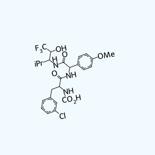 COc1ccc(C(NC(=O)C(Cc2cccc(Cl)c2)NC(=O)O)C(=O)NC(C(C)C)C(O)C(F)(F)F)cc1